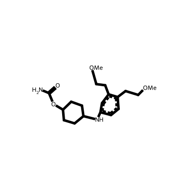 COCCc1ccc(NC2CCC(OC(N)=O)CC2)cc1CCOC